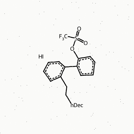 CCCCCCCCCCCCc1ccccc1-c1ccccc1OS(=O)(=O)C(F)(F)F.I